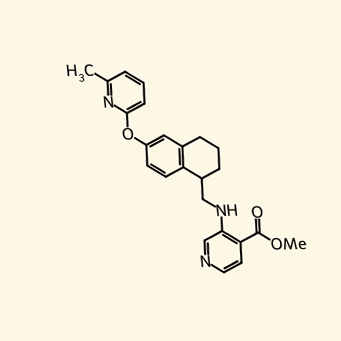 COC(=O)c1ccncc1NCC1CCCc2cc(Oc3cccc(C)n3)ccc21